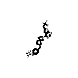 CS(=O)(=O)Nc1ccc(CN2CCC3(CCN(c4ncnc5sc(CC(F)(F)F)cc45)C3)C2)cc1